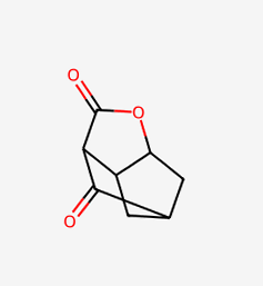 O=C1OC2CC3CC2C1C3=O